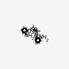 C[Si](C)(COc1ccccc1N)O[Si](C)(C)COc1ccccc1N